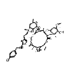 CC[C@H]1OC(=O)[C@H](C)[C@@H](O[C@H]2C[C@@](C)(OC)[C@@H](O)[C@H](C)O2)[C@H](C)[C@@H](O[C@@H]2O[C@H](C)C[C@H](N(C)CCc3csc(NCc4ccc(Cl)cc4)n3)[C@H]2O)[C@](C)(O)C[C@@H](C)CN(C)[C@H](C)[C@@H](O)[C@]1(C)O